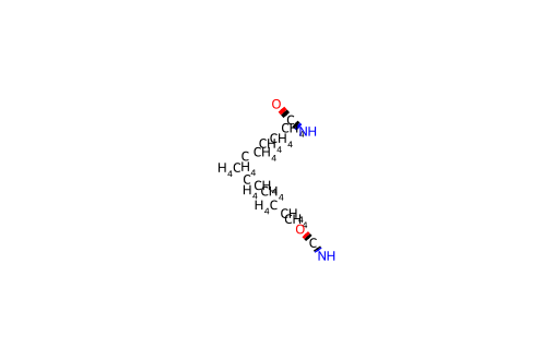 C.C.C.C.C.C.C.C.C.C.C.C.N=C=O.N=C=O